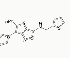 CCCc1sc2c(NCc3cccs3)snc2c1-n1ccnc1